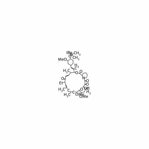 CCC1/C=C(\C)CC(C)CC(OC)C2OC(O)(C(=O)C(=O)N3CCCCC3C(=O)OC(C(C)=CC3CCC(O[Si](C)(C)C(C)(C)C)C(OC)C3)C(C)/C=C/C1=O)C(C)CC2OC